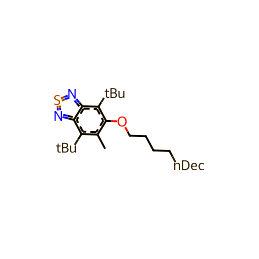 CCCCCCCCCCCCCCOc1c(C)c(C(C)(C)C)c2nsnc2c1C(C)(C)C